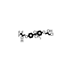 CC(C)(c1ccc(OC[C@H](O)CCl)cc1)c1ccc(OC[C@@H](O)C(F)(F)F)cc1